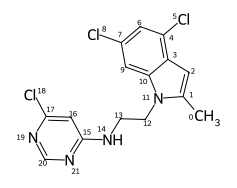 Cc1cc2c(Cl)cc(Cl)cc2n1CCNc1cc(Cl)ncn1